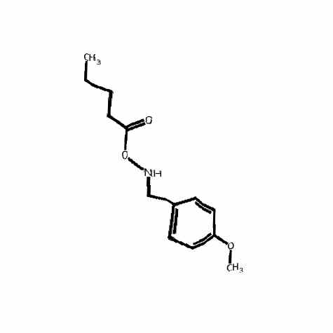 CCCCC(=O)ONCc1ccc(OC)cc1